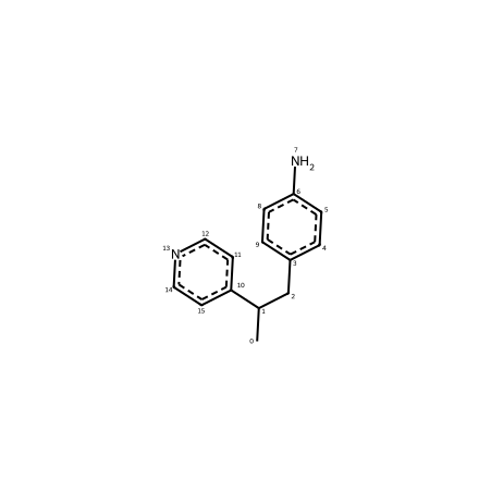 CC(Cc1ccc(N)cc1)c1ccncc1